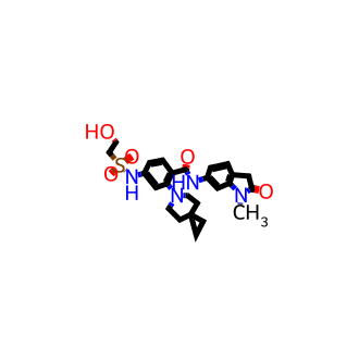 CN1C(=O)Cc2ccc(NC(=O)c3ccc(NS(=O)(=O)CCO)cc3N3CCC4(CC3)CC4)cc21